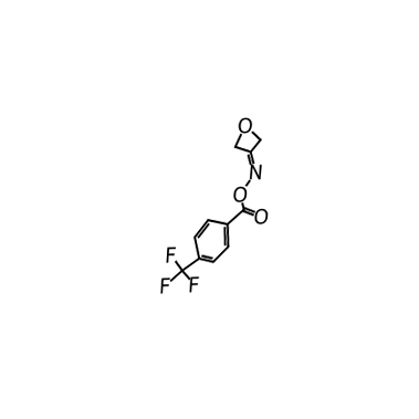 O=C(ON=C1COC1)c1ccc(C(F)(F)F)cc1